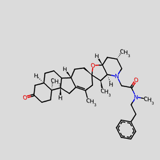 CC1=C2C[C@H]3C(CC[C@@H]4CC(=O)CC[C@@]43C)[C@@H]2CC[C@@]2(C1)O[C@@H]1C[C@H](C)CN(CC(=O)N(C)CCc3ccccc3)[C@H]1[C@H]2C